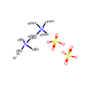 CCCCCC[N+](CCCCCC)(CCCCCC)CCCCCC.CCCC[N+](CCCC)(CCCC)CCCC.O=S(=O)([O-])[O-].O=S(=O)([O-])[O-].[H+].[H+]